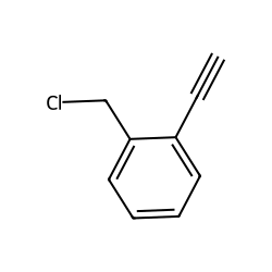 C#Cc1ccccc1CCl